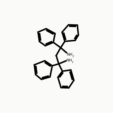 NC([C]C(N)(c1ccccc1)c1ccccc1)(c1ccccc1)c1ccccc1